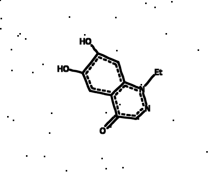 CCn1n[c]c(=O)c2cc(O)c(O)cc21